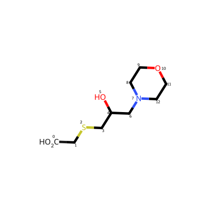 O=C(O)CSCC(O)CN1CCOCC1